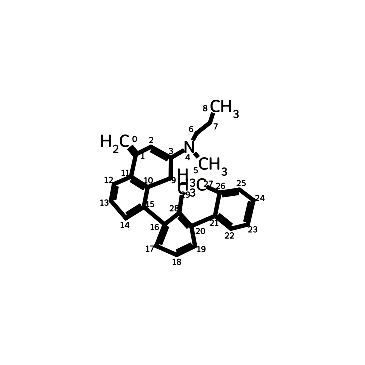 C=C1C=C(N(C)CCC)Cc2c1cccc2-c1cccc(-c2ccccc2C)c1C